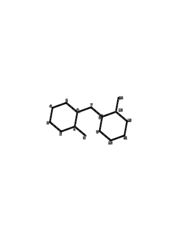 CC1CCCC[C]1C[C]1CCCCC1C